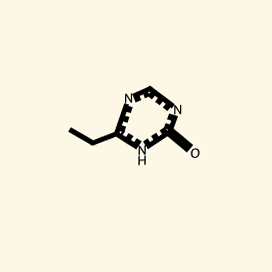 CCc1ncnc(=O)[nH]1